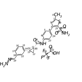 Cc1cc(-c2ccc(NC(=O)[C@@H]3C[C@@H]3c3cccc(C=NN)c3)cc2)c(S(N)(=O)=O)s1.O=C(O)C(F)(F)F